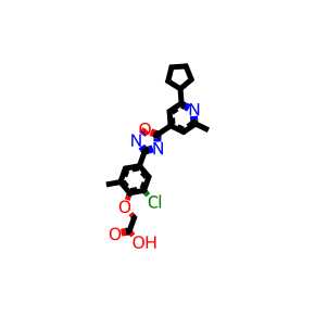 Cc1cc(-c2nc(-c3cc(C)c(OCC(=O)O)c(Cl)c3)no2)cc(C2CCCC2)n1